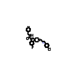 O=C(NCc1ccncc1)N1CC2(CCN(C/C=C/c3ccc(Cl)cc3)CC2)c2cc(F)ccc21